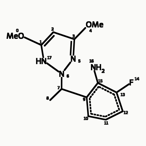 COC1=CC(OC)=NN(C(C)c2cccc(F)c2N)N1